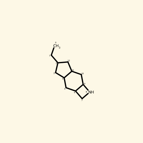 CCC1CC2CC3CNC3CC2C1